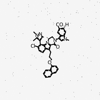 Cc1nn(C)c(C)c1-c1c(Cl)ccc2c(CCCOc3cccc4ccccc34)c3n(c12)[C@H](C)CN(c1cn(C)c2ccc(C(=O)O)cc12)C3=O